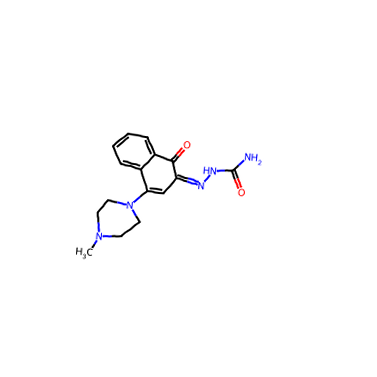 CN1CCN(C2=C/C(=N/NC(N)=O)C(=O)c3ccccc32)CC1